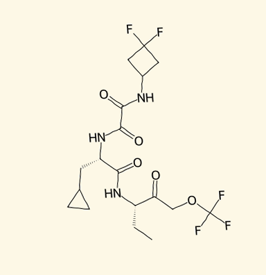 CC[C@H](NC(=O)[C@H](CC1CC1)NC(=O)C(=O)NC1CC(F)(F)C1)C(=O)COC(F)(F)F